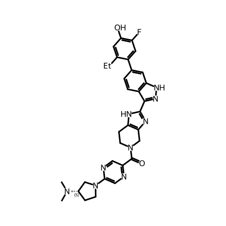 CCc1cc(O)c(F)cc1-c1ccc2c(-c3nc4c([nH]3)CCN(C(=O)c3cnc(N5CC[C@H](N(C)C)C5)cn3)C4)n[nH]c2c1